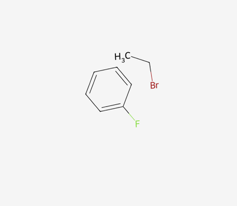 CCBr.Fc1ccccc1